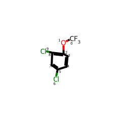 FC(F)(F)Oc1ccc(Cl)[c]c1Cl